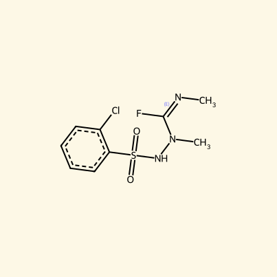 C/N=C(/F)N(C)NS(=O)(=O)c1ccccc1Cl